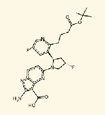 CC(C)(C)OC(=O)CCCc1ncc(F)cc1[C@H]1C[C@H](F)CN1c1ccn2nc(N)c(C(=O)O)c2n1